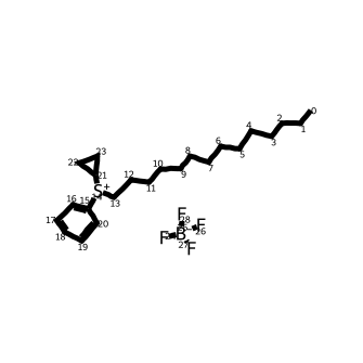 CCCCCCCCCCCCCC[S+](c1ccccc1)C1CC1.F[B-](F)(F)F